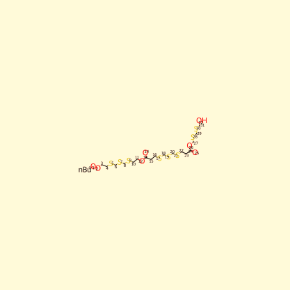 CCCCOOCCSCSCSCCOC(=O)CCSCSCSCCC(=O)OCSCSCO